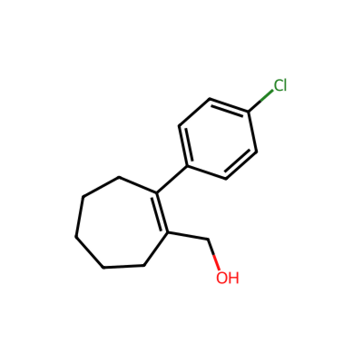 OCC1=C(c2ccc(Cl)cc2)CCCCC1